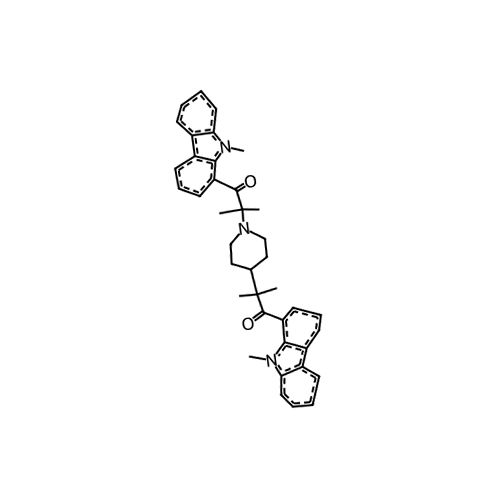 Cn1c2ccccc2c2cccc(C(=O)C(C)(C)C3CCN(C(C)(C)C(=O)c4cccc5c6ccccc6n(C)c45)CC3)c21